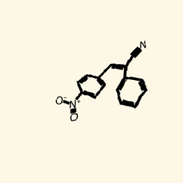 N#C/C(=C/c1ccc([N+](=O)[O-])cc1)c1ccccc1